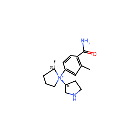 Cc1cc([N+]2([C@H]3CCNC3)CCC[C@@H]2C)ccc1C(N)=O